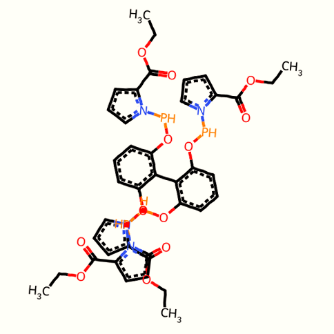 CCOC(=O)c1cccn1POc1cccc(OPn2cccc2C(=O)OCC)c1-c1c(OPn2cccc2C(=O)OCC)cccc1OPn1cccc1C(=O)OCC